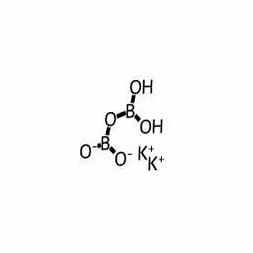 [K+].[K+].[O-]B([O-])OB(O)O